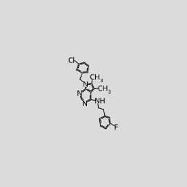 Cc1c(C)n(Cc2cccc(Cl)c2)c2ncnc(NCCc3cccc(F)c3)c12